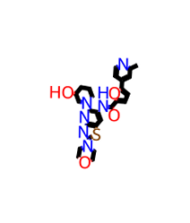 Cc1cc(-c2ccc(C(=O)Nc3cc4sc(N5CCOCC5)nc4nc3N3CCCC(O)C3)o2)ccn1